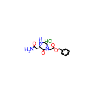 Cl.NC(=O)C[C@@H]1NCCN(CC(=O)OCc2ccccc2)C1=O